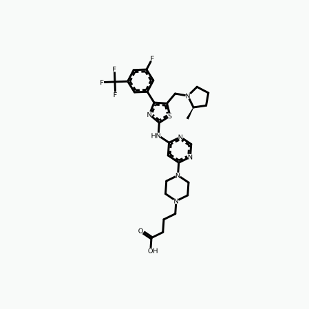 C[C@@H]1CCCN1Cc1sc(Nc2cc(N3CCN(CCCC(=O)O)CC3)ncn2)nc1-c1cc(F)cc(C(F)(F)F)c1